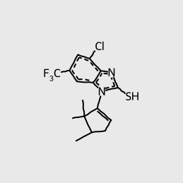 CC1CC=C(n2c(S)nc3c(Cl)cc(C(F)(F)F)cc32)C1(C)C